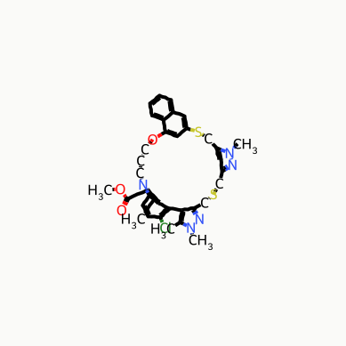 COC(=O)c1c(C)c2c3c(Cl)ccc2n1CCCOc1cc(cc2ccccc12)SCc1cc(nn1C)CSCc1nn(C)c(C)c1-3